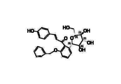 O=C(C=Cc1ccc(O)cc1)c1c(OCc2ccccc2)cccc1[C@@H]1O[C@H](CO)[C@@H](O)[C@H](O)[C@H]1O